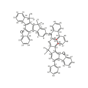 CC1(C)c2cc(N(c3ccc4c(c3)C(C)(C)c3c5c(c6oc7ccccc7c6c3-4)-c3ccccc3C5(C)C)c3ccccc3-c3ccccc3)ccc2-c2c1cc(-c1ccccc1)c1c2oc2ccccc21